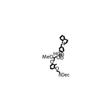 CCCCCCCCCCCCOc1cccc(OCC(COP(=O)(O)Oc2ccc(C[n+]3cccc4ccccc43)cc2)OC)c1C